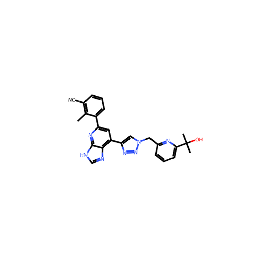 Cc1c(C#N)cccc1-c1cc(-c2cn(Cc3cccc(C(C)(C)O)n3)nn2)c2nc[nH]c2n1